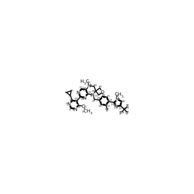 COc1ncnc(C2CC2)c1-c1ncc2c(n1)N(Cc1ccc(-c3nc(C(F)(F)F)cn3C)c(F)c1)C1(COC1)CN2C